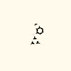 Nc1nc(N)nc(Nc2cccc3c2OCO3)n1